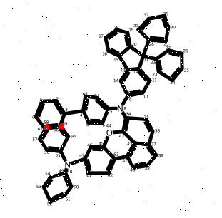 c1ccc(-c2ccc(N(c3ccc4c(c3)-c3ccccc3C4(c3ccccc3)c3ccccc3)c3ccc4cccc5c4c3Oc3cc(N(c4ccccc4)c4ccccc4)ccc3-5)cc2)cc1